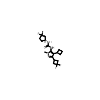 Cn1nc(C2CC(F)(F)C2)c(C2CCC2)c1NC(=O)N[C@@H]1CCC(F)(F)C1